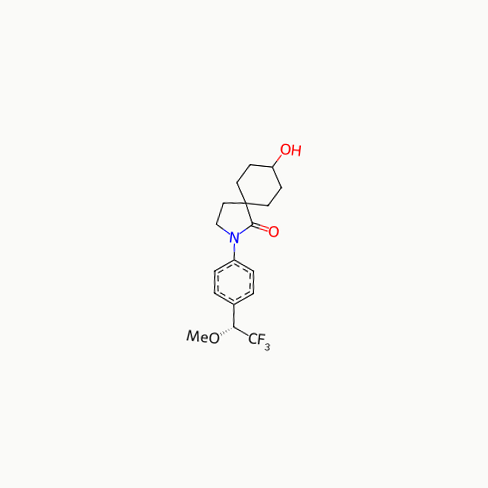 CO[C@H](c1ccc(N2CCC3(CCC(O)CC3)C2=O)cc1)C(F)(F)F